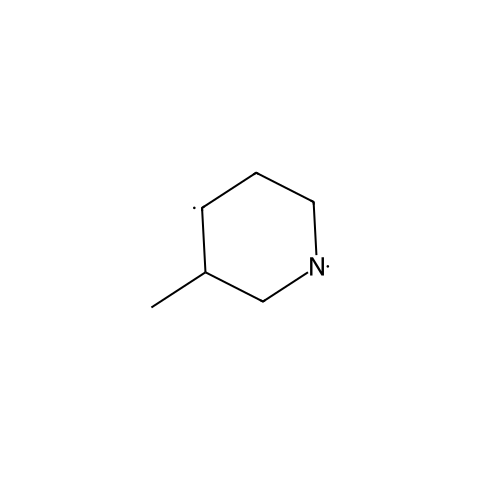 CC1[CH]CC[N]C1